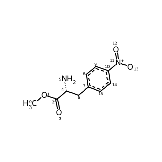 COC(=O)[C@H](N)Cc1ccc([N+](=O)[O-])cc1